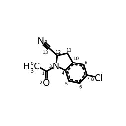 CC(=O)N1c2ccc(Cl)cc2CC1C#N